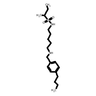 CCCCc1ccc(CNCCCCCNS(=O)(=O)C(C)CC)cc1